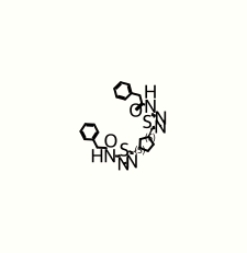 O=C(Cc1ccccc1)Nc1nnc([C@H]2CC[C@H](c3nnc(NC(=O)Cc4ccccc4)s3)C2)s1